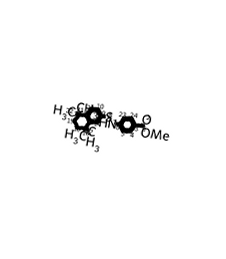 COC(=O)c1ccc(NSc2ccc3c(c2)C(C)(C)CCC3(C)C)cc1